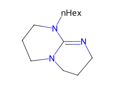 CCCCCCN1CCCN2CCCN=C12